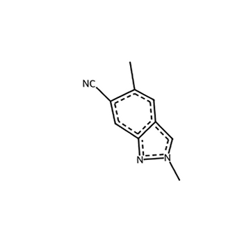 Cc1cc2cn(C)nc2cc1C#N